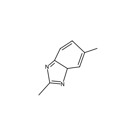 CC1=CC2N=C(C)N=C2C=C1